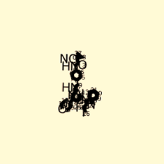 N#CC1(C(=O)N[C@H]2CC[C@H](CNc3nc(N4CCOCC4)cc(-n4c(C(F)F)nc5ccccc54)n3)CC2)CC1